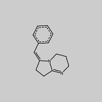 C(=C1\CCC2=NCCCN21)/c1ccccc1